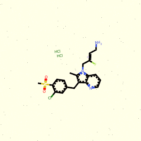 Cc1c(Cc2ccc(S(C)(=O)=O)c(Cl)c2)c2ncccc2n1C/C(F)=C/CN.Cl.Cl